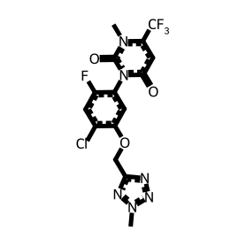 Cn1nnc(COc2cc(-n3c(=O)cc(C(F)(F)F)n(C)c3=O)c(F)cc2Cl)n1